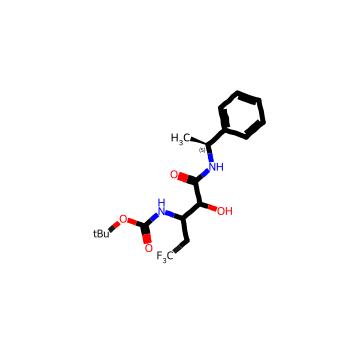 C[C@H](NC(=O)C(O)C(CC(F)(F)F)NC(=O)OC(C)(C)C)c1ccccc1